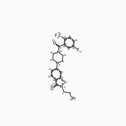 CC(C)CCn1sc2cc(N3CCN(C(=O)c4cc(F)ccc4C(F)(F)F)CC3)ccc2c1=O